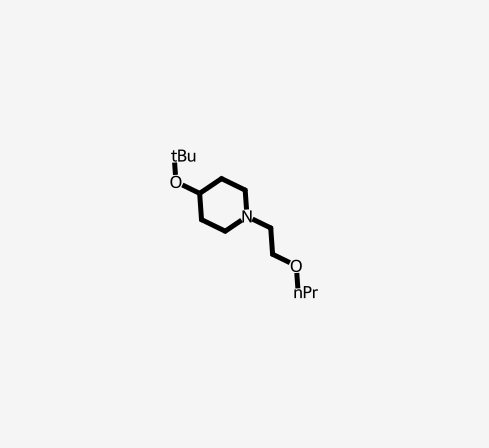 CCCOCCN1CCC(OC(C)(C)C)CC1